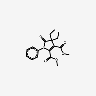 CCC1(CC)C(=O)N(c2ccccc2)C(C(=O)OC)=C1C(=O)OC